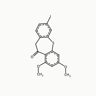 COc1cc(OC)c2c(c1)Sc1cc(I)ccc1CC2=O